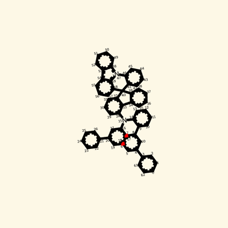 c1ccc(-c2cccc(-c3ccccc3N(c3cccc(-c4ccccc4)c3)c3cccc4c3-c3ccccc3C43c4ccccc4-n4c5ccccc5c5cccc3c54)c2)cc1